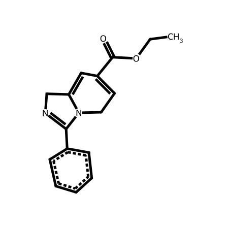 CCOC(=O)C1=CCN2C(=C1)CN=C2c1ccccc1